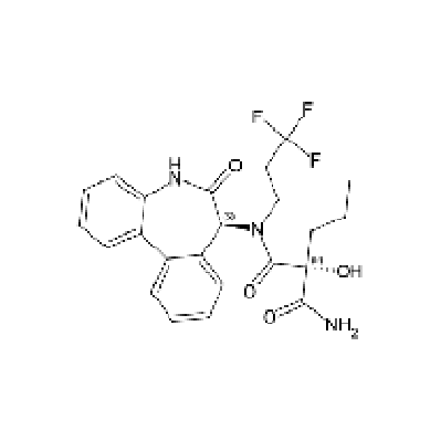 CCC[C@@](O)(C(N)=O)C(=O)N(CCC(F)(F)F)[C@@H]1C(=O)Nc2ccccc2-c2ccccc21